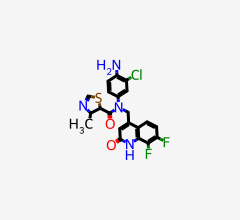 CC1N=CSC1C(=O)N(Cc1cc(=O)[nH]c2c(F)c(F)ccc12)c1ccc(N)c(Cl)c1